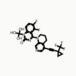 O=c1nc(N2CCCc3c(C#CC4(C(F)(F)F)CC4)cncc32)c2c(F)c(F)ccc2n1C(O)(O)O